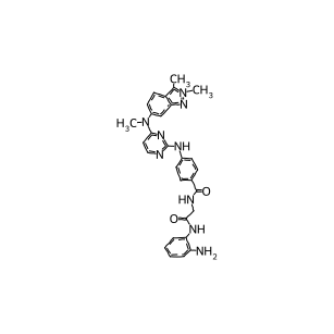 Cc1c2ccc(N(C)c3ccnc(Nc4ccc(C(=O)NCC(=O)Nc5ccccc5N)cc4)n3)cc2nn1C